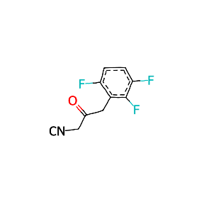 [C-]#[N+]CC(=O)Cc1c(F)ccc(F)c1F